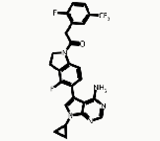 Nc1ncnc2c1c(-c1ccc3c(c1F)CCN3C(=O)Cc1cc(C(F)(F)F)ccc1F)cn2C1CC1